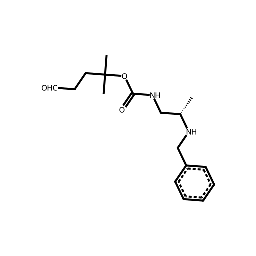 C[C@@H](CNC(=O)OC(C)(C)CCC=O)NCc1ccccc1